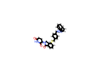 O=C1CCC(N2Cc3c(SCc4ccc(CNC56CC7CC(CC(C7)C5)C6)cc4)cccc3C2=O)C(=O)N1